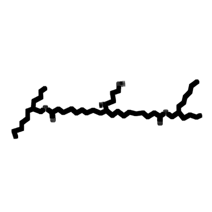 CCCCCCC(CCCC)COC(=O)CCCCCCCCC(CCCCCCCCC(=O)OCC(CCCC)CCCCCC)NCCCO